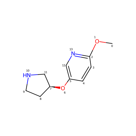 COc1ccc(O[C@H]2CCNC2)cn1